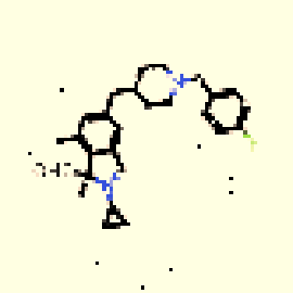 Cc1cc(CC2CCN(Cc3ccc(F)cc3)CC2)cc2c1C(C)(C=O)N(C1CC1)C2